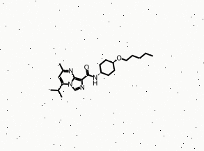 CCCCCO[C@H]1CC[C@H](NC(=O)c2ncn3c(C(C)C)cc(C)nc23)CC1